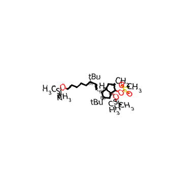 C=C1C[C@H]2[C@@H](C=C[C@H](CCCCCO[SiH](C)C)C(C)(C)C)[C@H](C(C)(C)C)C[C@@]2(O[SiH](C)C)C1OS(C)(=O)=O